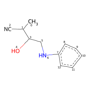 CC(C#N)C(O)CNc1ccccc1